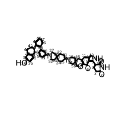 O=C1CCC(C2=C3C(=O)C4=C(C=C3CN2)CC2(CCN(C3CCC5(CC3)CCN(c3ccc([C@@H]6c7ccc(O)cc7CC[C@@H]6c6ccccc6)cc3)CC5)CC2)CO4)C(=O)N1